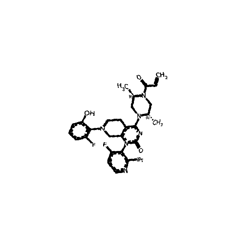 C=CC(=O)N1C[C@H](C)N(c2nc(=O)n(-c3c(F)ccnc3C(C)C)c3c2CCN(c2c(O)cccc2F)C3)C[C@H]1C